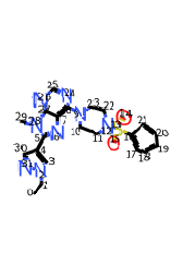 CCn1cc(-c2nc3c(N4CCN(S(=O)(=O)c5ccccc5)CC4)ncnc3n2C)cn1